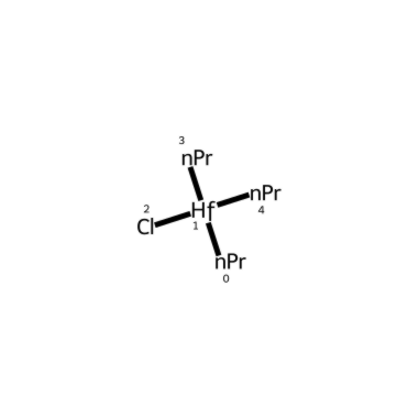 CC[CH2][Hf]([Cl])([CH2]CC)[CH2]CC